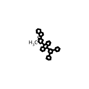 CC1CC(c2c3ccccc3c(-c3cc(-c4ccccc4)cc(-c4ccccc4)c3)c3ccccc23)=Cc2c1sc1c3c(ccc21)CCC=C3